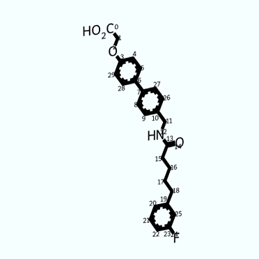 O=C(O)COc1ccc(-c2ccc(CNC(=O)CCCCc3cccc(F)c3)cc2)cc1